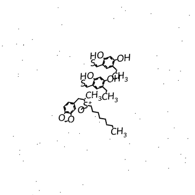 CCCCCCCC[S+]([O-])C(C)Cc1ccc2c(c1)OCO2.CCc1cc(C=S)c(O)cc1O.CCc1cc(C=S)c(O)cc1O